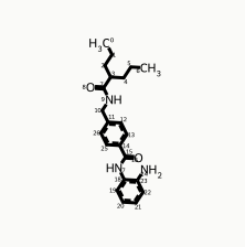 CCCC(CCC)C(=O)NCc1ccc(C(=O)Nc2ccccc2N)cc1